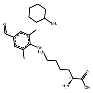 Cc1cc(C=O)cc(C)c1O.NC1CCCCC1.NCCCC[C@H](N)C(=O)O